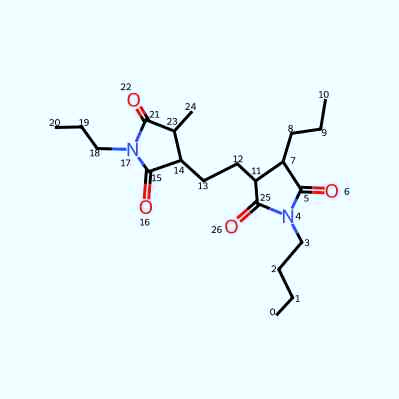 CCCCN1C(=O)C(CCC)C(CCC2C(=O)N(CCC)C(=O)C2C)C1=O